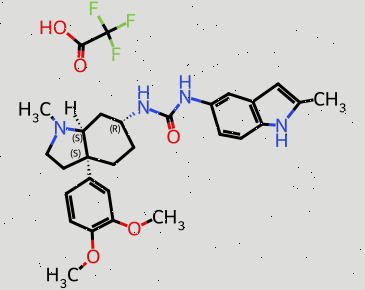 COc1ccc([C@@]23CC[C@@H](NC(=O)Nc4ccc5[nH]c(C)cc5c4)C[C@@H]2N(C)CC3)cc1OC.O=C(O)C(F)(F)F